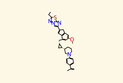 C=C(C)c1ccc(N2CCCC([C@@H]3C[C@@H]3Cc3cc(OC)cc4c3C=C(c3cn5nc(CC)sc5n3)C4)C2)cc1